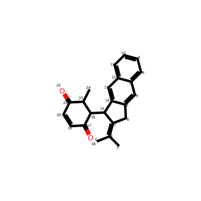 CC(C)=C1Cc2cc3ccccc3cc2C1C1C(=O)C=CC(=O)C1C